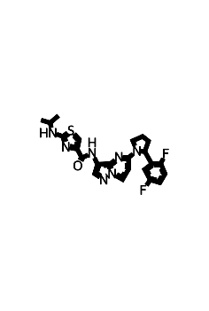 CC(C)Nc1nc(C(=O)Nc2cnn3ccc(N4CCCC4c4cc(F)ccc4F)nc23)cs1